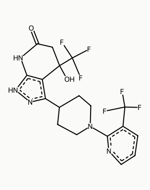 O=C1CC(O)(C(F)(F)F)c2c(C3CCN(c4ncccc4C(F)(F)F)CC3)n[nH]c2N1